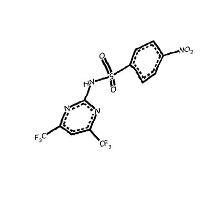 O=[N+]([O-])c1ccc(S(=O)(=O)Nc2nc(C(F)(F)F)cc(C(F)(F)F)n2)cc1